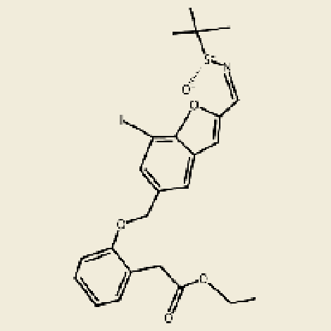 CCOC(=O)Cc1ccccc1OCc1cc(I)c2oc(/C=N\[S@+]([O-])C(C)(C)C)cc2c1